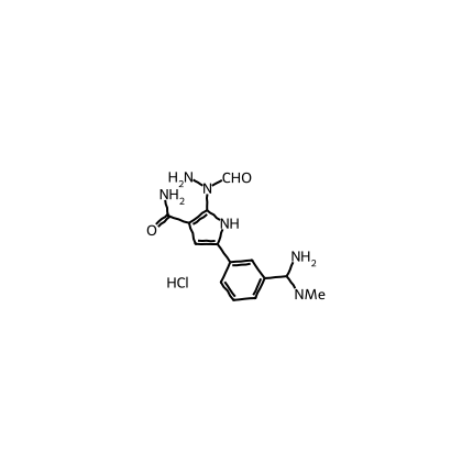 CNC(N)c1cccc(-c2cc(C(N)=O)c(N(N)C=O)[nH]2)c1.Cl